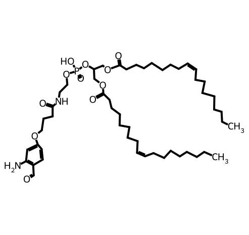 CCCCCCCC/C=C\CCCCCCCC(=O)OCC(COC(=O)CCCCCCC/C=C\CCCCCCCC)OP(=O)(O)OCCNC(=O)CCCOc1ccc(C=O)c(N)c1